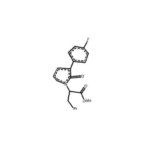 COC(=O)C(CC(C)C)n1cccc(-c2ccc(F)cc2)c1=O